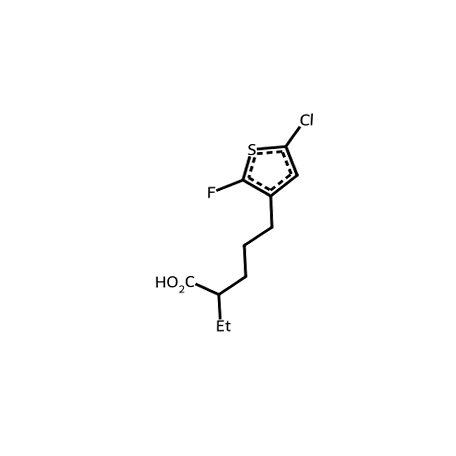 CCC(CCCc1cc(Cl)sc1F)C(=O)O